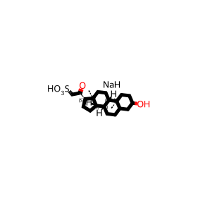 C[C@]12CC[C@H]3[C@@H](CCC4CC(O)CC[C@@]43C)[C@@H]1CC[C@@H]2C(=O)CS(=O)(=O)O.[NaH]